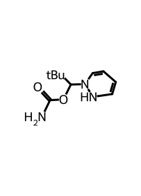 CC(C)(C)C(OC(N)=O)N1C=CC=CN1